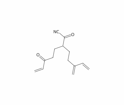 C=CC(=C)CCC(CCC(=O)C=C)C(=O)C#N